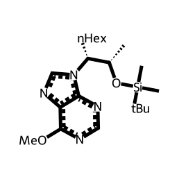 CCCCCC[C@H]([C@H](C)O[Si](C)(C)C(C)(C)C)n1cnc2c(OC)ncnc21